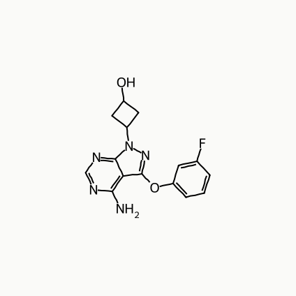 Nc1ncnc2c1c(Oc1cccc(F)c1)nn2C1CC(O)C1